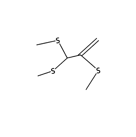 C=C(SC)C(SC)SC